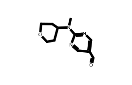 CN(c1ncc(C=O)cn1)C1CCOCC1